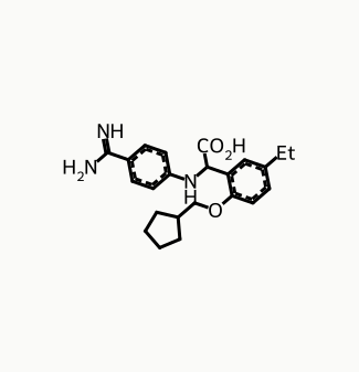 CCc1ccc(OCC2CCCC2)c(C(Nc2ccc(C(=N)N)cc2)C(=O)O)c1